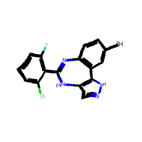 [2H]c1ccc2c(c1)-c1[nH]ncc1NC(c1c(F)cccc1Cl)=N2